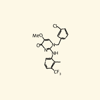 COc1cn(Cc2cccc(Cl)c2)c(Nc2cccc(C(F)(F)F)c2C)nc1=O